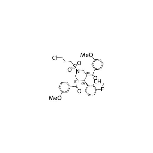 COc1cccc(C(=O)[C@H]2CN(S(=O)(=O)CCCCl)C[C@@H](C(=O)c3cccc(OC)c3)[C@@H]2c2cccc(F)c2C)c1